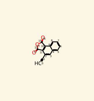 C#Cc1cc2ccccc2c2c1C(=O)OC2=O